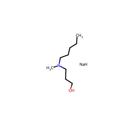 CCCCCN(C)CCCO.[NaH]